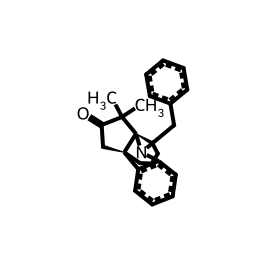 CC1(C)C(=O)C[C@]23CCCC[C@]12N(Cc1ccccc1)c1ccccc13